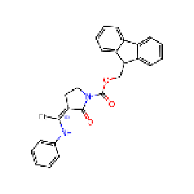 CC/C(Nc1ccccc1)=C1\CCN(C(=O)OCC2c3ccccc3-c3ccccc32)C1=O